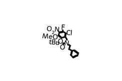 COc1cc(CN(CCc2ccccc2)C(=O)OC(C)(C)C)c(Cl)c(F)c1[N+](=O)[O-]